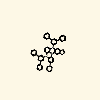 c1ccc(-c2cc(-c3ccccc3)cc(N3c4cc(C5CCCCC5)ccc4B4c5cc6c(cc5N(c5cc(-c7ccccc7)cc(-c7ccccc7)c5)c5cccc3c54)CCC6)c2)cc1